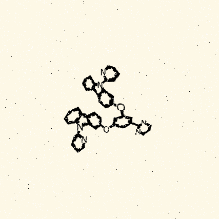 c1ccc(-n2c3ccccc3c3ccc(Oc4cc(Oc5ccc6c7ccccc7n(-c7ccccn7)c6c5)cc(-c5ncccn5)c4)cc32)nc1